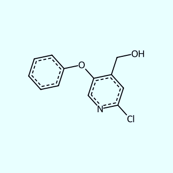 OCc1cc(Cl)ncc1Oc1ccccc1